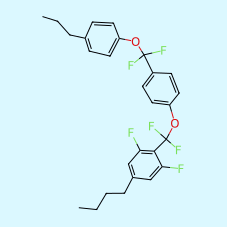 CCCCc1cc(F)c(C(F)(F)Oc2ccc(C(F)(F)Oc3ccc(CCC)cc3)cc2)c(F)c1